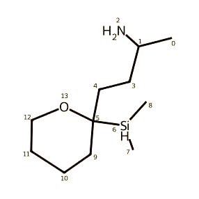 CC(N)CCC1([SiH](C)C)CCCCO1